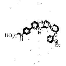 CCOc1ccccc1O[C@@H]1CCCN(N2C=CNC(Nc3cccc(-c4ccc(NCC(=O)O)cc4)n3)=C2)C1